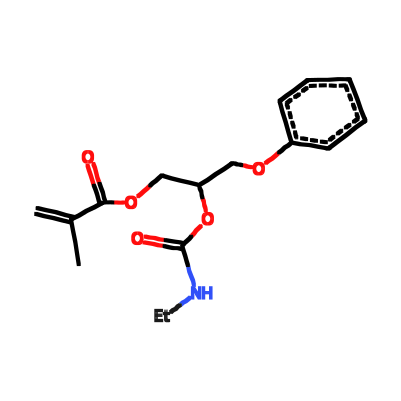 C=C(C)C(=O)OCC(COc1ccccc1)OC(=O)NCC